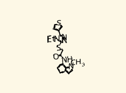 CCn1c(SCC(=O)Nc2cccc3ccn(C)c23)nnc1-c1ccsc1